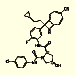 N#CC1=CC=C2C(C=C1)NC2(CCC1CC1)c1ccc(F)c(NC(=O)[C@H]2C[C@@H](O)CN2C(=O)Nc2ccc(Cl)cc2)c1